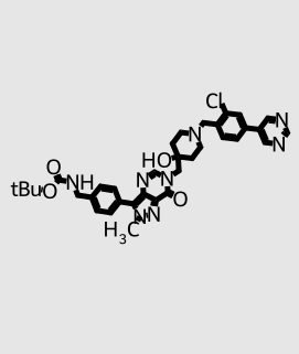 Cn1nc2c(=O)n(CC3(O)CCN(Cc4ccc(-c5cncnc5)cc4Cl)CC3)cnc2c1-c1ccc(CNC(=O)OC(C)(C)C)cc1